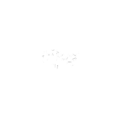 Cc1cn2cc(NC(=O)N3CCc4c(N5C[C@@H](C)N[C@@H](C)C5)ccnc43)cc(C)c2n1.Cl.Cl